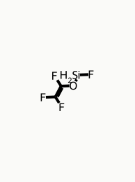 F[SiH2]OC(F)=C(F)F